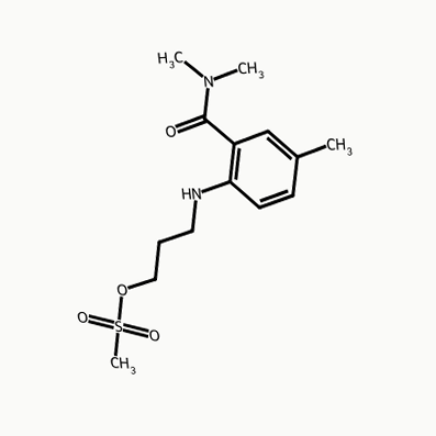 Cc1ccc(NCCCOS(C)(=O)=O)c(C(=O)N(C)C)c1